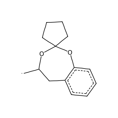 [CH2]C1Cc2ccccc2OC2(CCCC2)O1